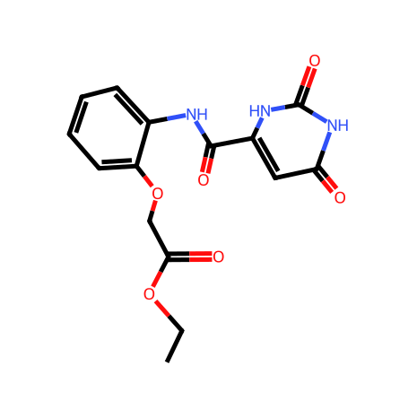 CCOC(=O)COc1ccccc1NC(=O)c1cc(=O)[nH]c(=O)[nH]1